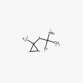 CCCCC(C)(CC)CC1(C(F)(F)F)CC1